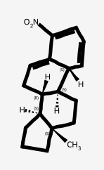 C[C@@]12CCC[C@H]1[C@@H]1CC=C3C([N+](=O)[O-])=CC=C[C@@H]3[C@H]1CC2